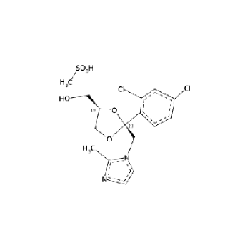 CS(=O)(=O)O.Cc1nccn1C[C@@]1(c2ccc(Cl)cc2Cl)OC[C@@H](CO)O1